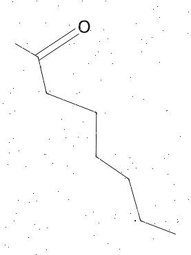 C[CH]CCCCC(C)=O